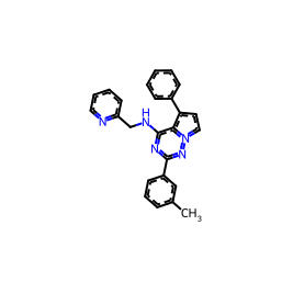 Cc1cccc(-c2nc(NCc3ccccn3)c3c(-c4ccccc4)ccn3n2)c1